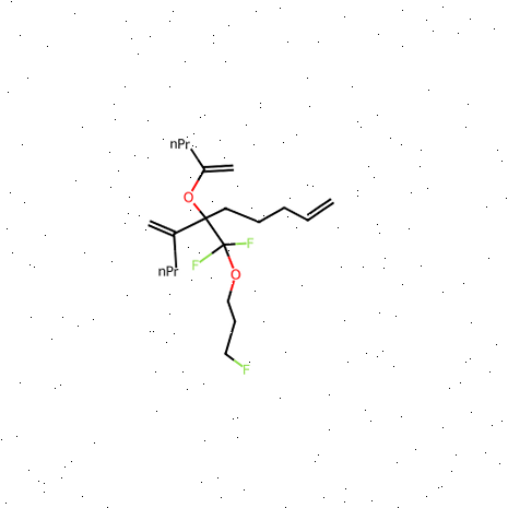 C=CCCCC(OC(=C)CCC)(C(=C)CCC)C(F)(F)OCCCF